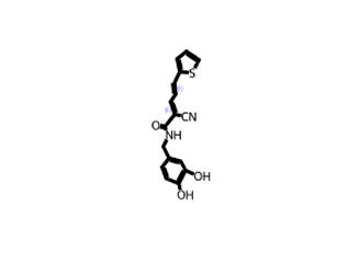 N#C/C(=C\C=C\c1cccs1)C(=O)NCc1ccc(O)c(O)c1